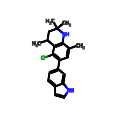 Cc1cc(-c2ccc3cc[nH]c3c2)c(Cl)c2c1NC(C)(C)CC2C